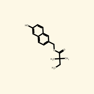 CCC(C)(C)C(=O)OCc1ccc2cc(O)ccc2c1